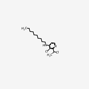 CCCCCCCCCCNc1ccnc(C(C)Cl)c1Cl